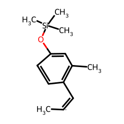 C/[C]=C\c1ccc(O[Si](C)(C)C)cc1C